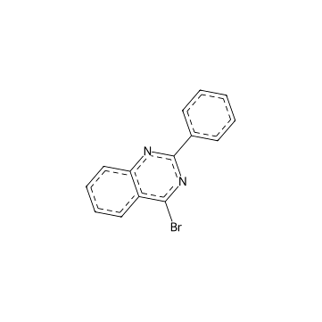 Brc1nc(-c2ccccc2)nc2ccccc12